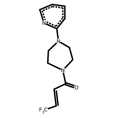 O=C(C=CC(F)(F)F)N1CCN(c2ccccn2)CC1